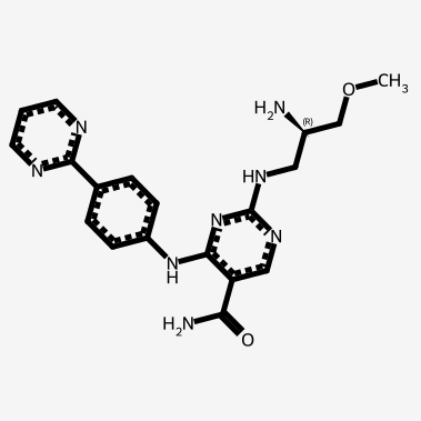 COC[C@H](N)CNc1ncc(C(N)=O)c(Nc2ccc(-c3ncccn3)cc2)n1